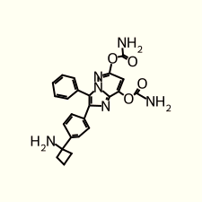 NC(=O)Oc1cc(OC(N)=O)c2nc(-c3ccc(C4(N)CCC4)cc3)c(-c3ccccc3)n2n1